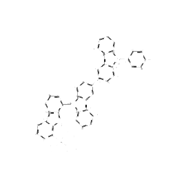 C[Si](C)(C)c1cccc2c1oc1c(-n3c4ccccc4c4cc(-c5ccc6c(c5)c5ccccc5n6-c5ccccc5)ccc43)cccc12